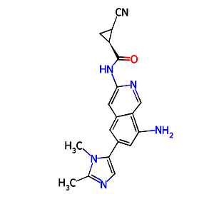 Cc1ncc(-c2cc(N)c3cnc(NC(=O)[C@H]4CC4C#N)cc3c2)n1C